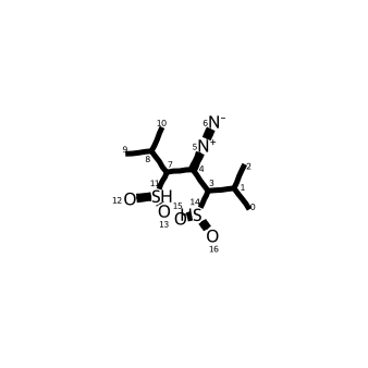 CC(C)C(C(=[N+]=[N-])C(C(C)C)[SH](=O)=O)[SH](=O)=O